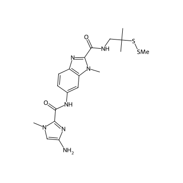 CSSC(C)(C)CNC(=O)c1nc2ccc(NC(=O)c3nc(N)cn3C)cc2n1C